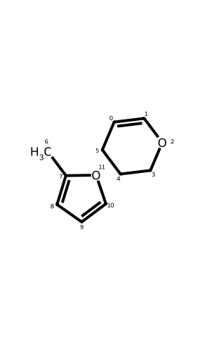 C1=COCCC1.Cc1ccco1